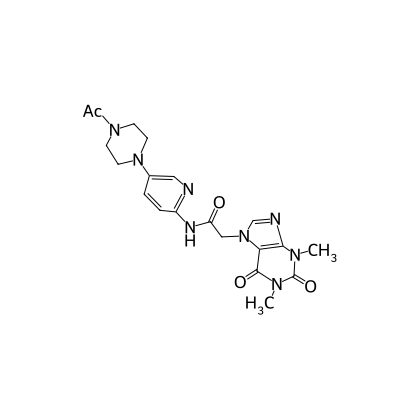 CC(=O)N1CCN(c2ccc(NC(=O)Cn3cnc4c3c(=O)n(C)c(=O)n4C)nc2)CC1